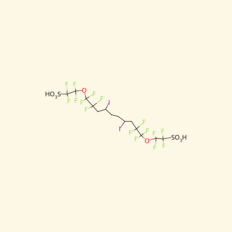 O=S(=O)(O)C(F)(F)C(F)(F)OC(F)(F)C(F)(F)CC(I)CCC(I)CC(F)(F)C(F)(F)OC(F)(F)C(F)(F)S(=O)(=O)O